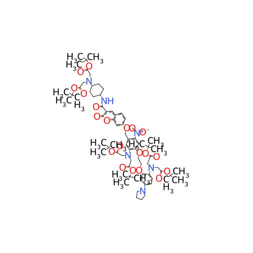 CC(C)(C)OC(=O)CN(CC(=O)OC(C)(C)C)c1ccc(N2CCCC2)cc1OCCOc1cc([N+](=O)[O-])c(COc2ccc3cc(C(=O)NC4CCC(N(CC(=O)OC(C)(C)C)CC(=O)OC(C)(C)C)CC4)c(=O)oc3c2)cc1N(CC(=O)OC(C)(C)C)CC(=O)OC(C)(C)C